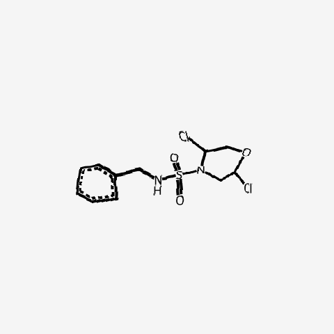 O=S(=O)(NCc1ccccc1)N1CC(Cl)OCC1Cl